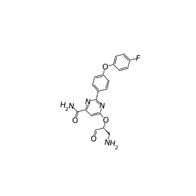 NC[C@@H](C=O)Oc1cc(C(N)=O)nc(-c2ccc(Oc3ccc(F)cc3)cc2)n1